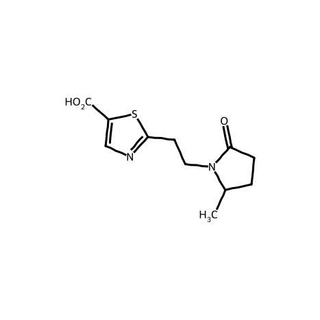 CC1CCC(=O)N1CCc1ncc(C(=O)O)s1